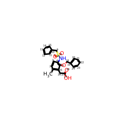 Cc1ccc(NS(=O)(=O)Cc2ccccc2)c(OCc2ccccc2)c1CC(=O)O